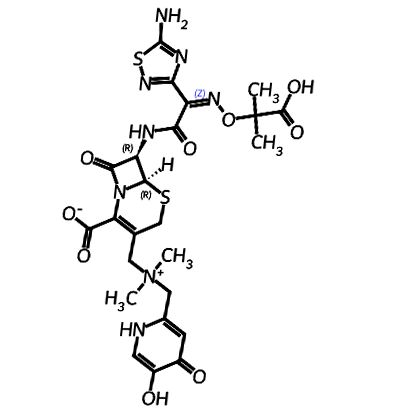 CC(C)(O/N=C(\C(=O)N[C@@H]1C(=O)N2C(C(=O)[O-])=C(C[N+](C)(C)Cc3cc(=O)c(O)c[nH]3)CS[C@H]12)c1nsc(N)n1)C(=O)O